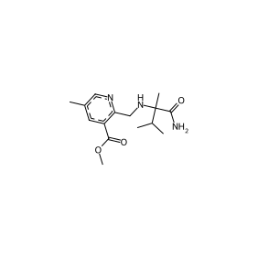 COC(=O)c1cc(C)cnc1CNC(C)(C(N)=O)C(C)C